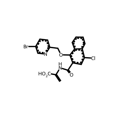 C=C(NC(=O)c1cc(Cl)c2ccccc2c1OCc1ccc(Br)cn1)C(=O)O